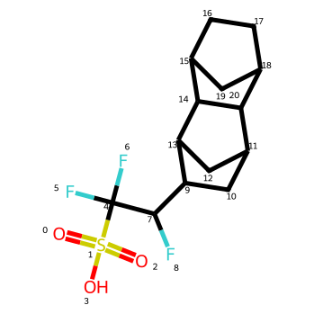 O=S(=O)(O)C(F)(F)C(F)C1CC2CC1C1C3CCC(C3)C21